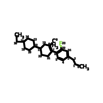 CCCc1ccc(C2=C(C)CC(C3CCC(CC)CC3)CC2)c(F)c1